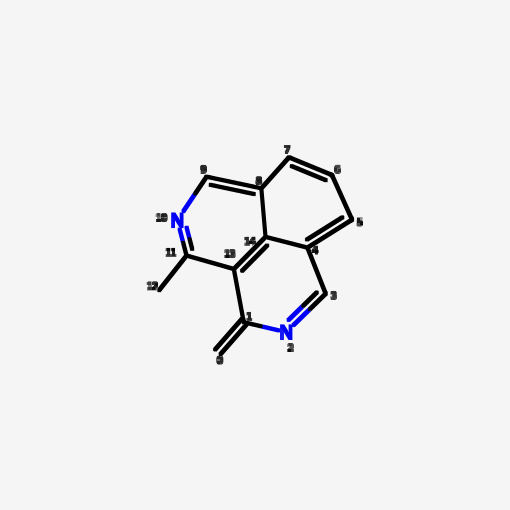 C=c1ncc2cccc3cnc(C)c1c32